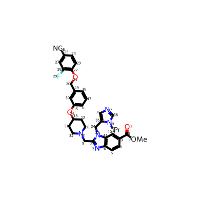 COC(=O)c1ccc2nc(CN3CCC(Oc4cccc(COc5ccc(C#N)cc5F)c4)CC3)n(Cc3cncn3C(C)C)c2c1